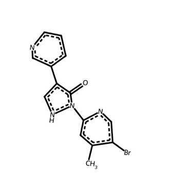 Cc1cc(-n2[nH]cc(-c3cccnc3)c2=O)ncc1Br